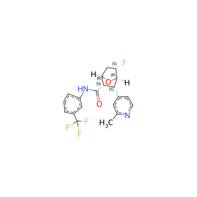 Cc1cc([C@H]2[C@H]3O[C@H](C[C@@H]3F)[C@H]2C(=O)Nc2cccc(C(F)(F)F)c2)ccn1